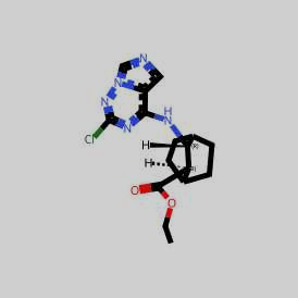 CCOC(=O)[C@@H]1C2CCC(CC2)[C@H]1Nc1nc(Cl)nn2cncc12